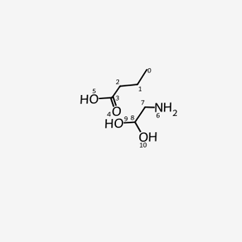 CCCC(=O)O.NCC(O)O